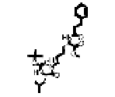 COC(=O)[C@H](CCCCNC(=O)[C@H](CC(C)C)NC(=O)OC(C)(C)C)NC(=O)CCc1ccccc1